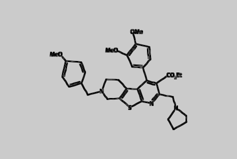 CCOC(=O)c1c(CN2CCCC2)nc2sc3c(c2c1-c1ccc(OC)c(OC)c1)CCN(Cc1ccc(OC)cc1)C3